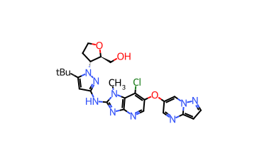 Cn1c(Nc2cc(C(C)(C)C)n([C@@H]3CCO[C@H]3CO)n2)nc2ncc(Oc3cnc4ccnn4c3)c(Cl)c21